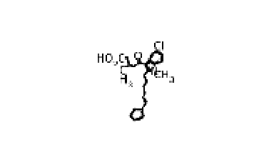 CC(CC(=O)O)CC(=O)c1c(CCCCC=Cc2ccccc2)n(C)c2ccc(Cl)cc12